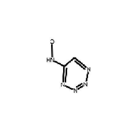 [O]Nc1cnnnn1